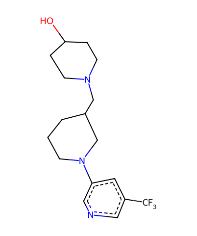 OC1CCN(CC2CCCN(c3cncc(C(F)(F)F)c3)C2)CC1